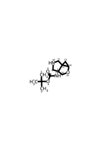 CC(C)(C)OC(=O)N[C@]12CNCC13CC3OC2